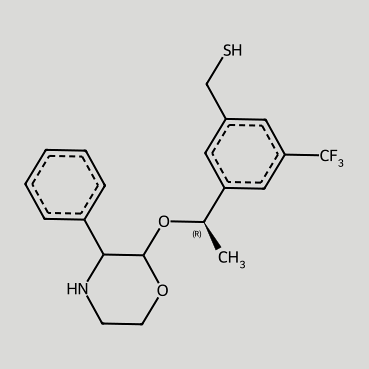 C[C@@H](OC1OCCNC1c1ccccc1)c1cc(CS)cc(C(F)(F)F)c1